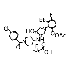 CCc1c(F)ccc(OOC(C)=O)c1N1C[C@H](NC2CCN(C(=O)c3ccc(Cl)cc3)CC2)[C@@H](O)C1.O=C(O)C(F)(F)F